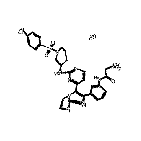 Cl.NCC(=O)Nc1cccc(-c2nc3sccn3c2-c2ccnc(N[C@@H]3CCCN(S(=O)(=O)c4ccc(Cl)cc4)C3)n2)c1